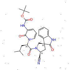 CC(C)C[C@H](C(=O)N1C[C@]2(C[C@H]1C#N)C(=O)Nc1ccccc12)n1cccc(NC(=O)OC(C)(C)C)c1=O